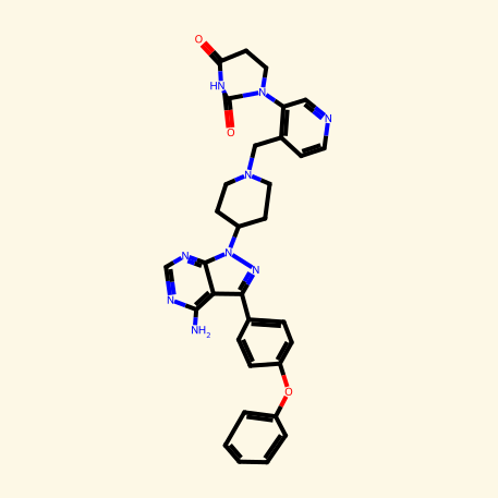 Nc1ncnc2c1c(-c1ccc(Oc3ccccc3)cc1)nn2C1CCN(Cc2ccncc2N2CCC(=O)NC2=O)CC1